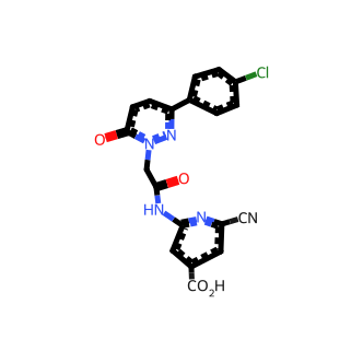 N#Cc1cc(C(=O)O)cc(NC(=O)Cn2nc(-c3ccc(Cl)cc3)ccc2=O)n1